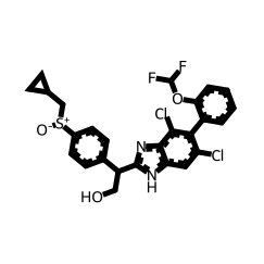 [O-][S+](CC1CC1)c1ccc(C(CO)c2nc3c(Cl)c(-c4ccccc4OC(F)F)c(Cl)cc3[nH]2)cc1